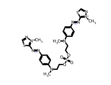 CN(CCOS(=O)(=O)OCCN(C)c1ccc(/N=N/c2scn[n+]2C)cc1)c1ccc(/N=N/c2scn[n+]2C)cc1